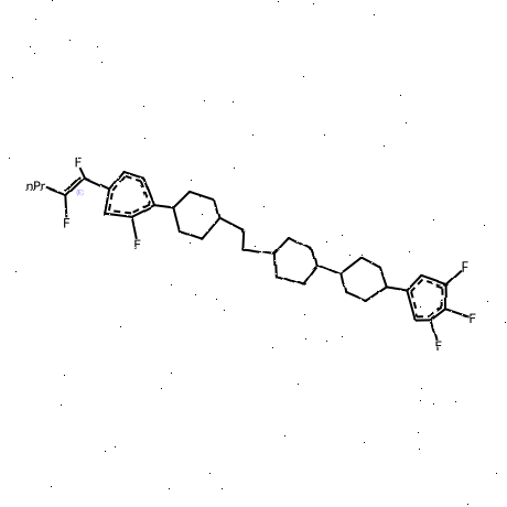 CCC/C(F)=C(\F)c1ccc(C2CCC(CCC3CCC(C4CCC(c5cc(F)c(F)c(F)c5)CC4)CC3)CC2)c(F)c1